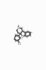 CN1CCC2(c3cccc(Cl)c3)Oc3ccccc3C2C1